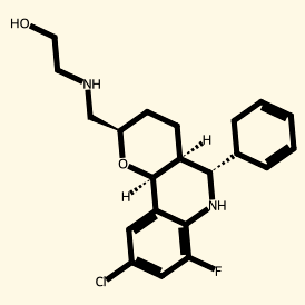 OCCNC[C@H]1CC[C@@H]2[C@H](O1)c1cc(Cl)cc(F)c1N[C@H]2C1C=CC=CC1